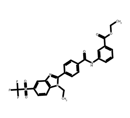 CCOC(=O)c1cccc(NC(=O)c2ccc(-c3nc4cc(S(=O)(=O)C(F)(F)F)ccc4n3CC)cc2)c1